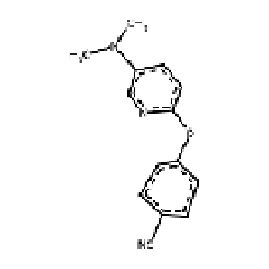 CN(C)c1ccc(Oc2ccc(C#N)cc2)nc1